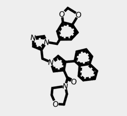 O=C(c1cn(Cc2cncn2Cc2ccc3c(c2)OCO3)cc1-c1cccc2ccccc12)N1CCOCC1